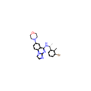 Cc1c(Br)cccc1[C@@H](C)Nc1nc2nccn2c2ccc(N3CCOCC3)cc12